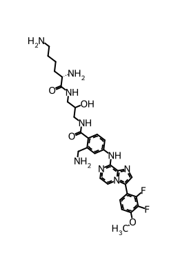 COc1ccc(-c2cnc3c(Nc4ccc(C(=O)NCC(O)CNC(=O)[C@@H](N)CCCCN)c(CN)c4)nccn23)c(F)c1F